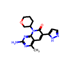 Cc1nc(N)nc2c1cc(-c1ccn[nH]1)c(=O)n2C1CCCOC1